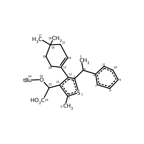 Cc1sc(C(C)c2ccccc2)c(C2=CCC(C)(C)CC2)c1C(OC(C)(C)C)C(=O)O